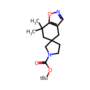 CC(C)(C)OC(=O)N1CCC2(Cc3cnoc3C(C)(C)C2)C1